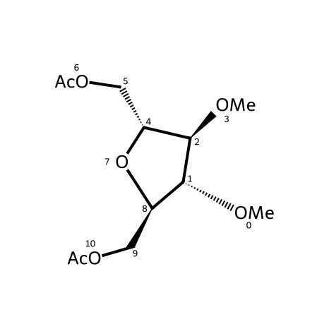 CO[C@H]1[C@H](OC)[C@@H](COC(C)=O)O[C@@H]1COC(C)=O